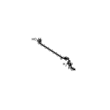 CCON(CCCNC(O)OC1CCC1)C(=O)C1=Cc2ccc(-c3cccc(S(=O)(=O)N4CC(CNC(=O)CCOCCOCCOCCOCCOCCOCCOCCOCCOCCOCCC(=O)Oc5c(F)c(F)c(S(=O)(=O)O)c(F)c5F)C4)c3)cc2N=C(N)C1